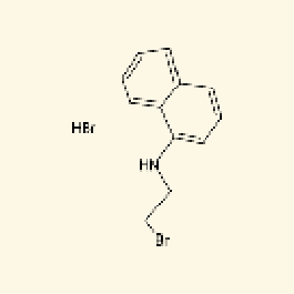 Br.BrCCNc1cccc2ccccc12